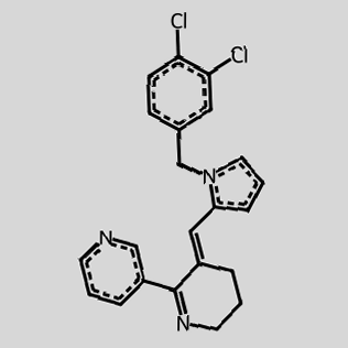 Clc1ccc(Cn2cccc2C=C2CCCN=C2c2cccnc2)cc1Cl